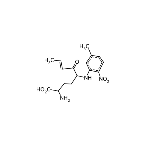 C/C=C/C(=O)C(CCC(N)C(=O)O)Nc1cc(C)ccc1[N+](=O)[O-]